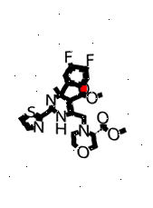 COC(=O)C1=C(CN2CCOC[C@H]2C(=O)OC)NC(c2nccs2)=NC1(C)c1ccc(F)c(F)c1